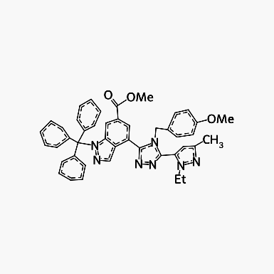 CCn1nc(C)cc1-c1nnc(-c2cc(C(=O)OC)cc3c2cnn3C(c2ccccc2)(c2ccccc2)c2ccccc2)n1Cc1ccc(OC)cc1